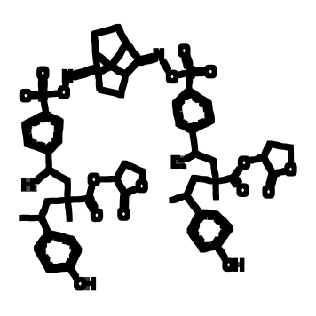 CCC(CC(C)(CC(C)c1ccc(O)cc1)C(=O)OC1CCOC1=O)c1ccc(S(=O)(=O)ON=C2C3CC4C(=NOS(=O)(=O)c5ccc(C(CC)CC(C)(CC(C)c6ccc(O)cc6)C(=O)OC6CCOC6=O)cc5)C5CC2CC45C3)cc1